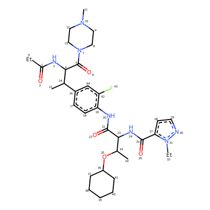 CCC(=O)NC(C(=O)N1CCN(C)CC1)C(C)c1ccc(NC(=O)C(NC(=O)c2ccnn2CC)C(C)OC2CCCCC2)c(F)c1